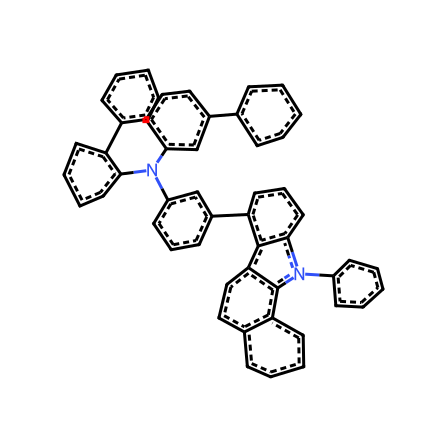 c1ccc(-c2cccc(N(c3cccc(-c4cccc5c4c4ccc6ccccc6c4n5-c4ccccc4)c3)c3ccccc3-c3ccccc3)c2)cc1